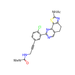 CNC(=O)NCC#Cc1ccc(Cl)c(-c2ncc3c(n2)-c2sc(NC(C)=O)nc2CC3)c1